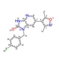 Cc1noc(C)c1-c1cnc2[nH]c(=O)n(Cc3ccc(F)cc3)c2c1